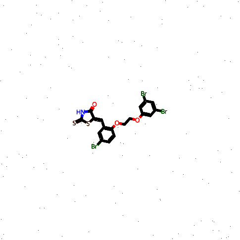 O=C1NC(=S)S/C1=C\c1cc(Br)ccc1OCCOc1cc(Br)cc(Br)c1